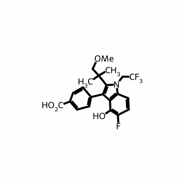 COCC(C)(C)c1c(-c2ccc(C(=O)O)cc2)c2c(O)c(F)ccc2n1CC(F)(F)F